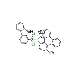 CC(C)c1ccc2c(c1-c1ccccc1-c1ccccc1)C=C(C(C)(C)C)[CH]2[Zr]([Cl])([Cl])[c]1cccc2c1[SiH2]c1ccccc1-2